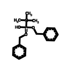 C[Si](C)(C)[PH](O)(OCc1ccccc1)OCc1ccccc1